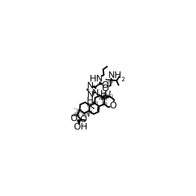 CCCNC(=O)c1ncnn1[C@@H]1C[C@@]23COC[C@](C)([C@@H]2CC[C@H]2C3=CC[C@]3(C)[C@H](OC(=O)O)[C@@](C)([C@H](C)C(C)C)CC[C@]23C)[C@H]1OC[C@](C)(N)C(C)C